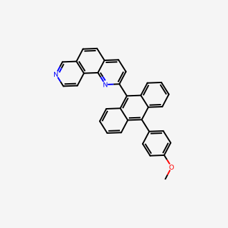 COc1ccc(-c2c3ccccc3c(-c3ccc4ccc5cnccc5c4n3)c3ccccc23)cc1